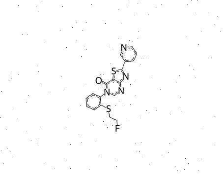 O=c1c2sc(-c3cccnc3)nc2ncn1-c1ccccc1SCCF